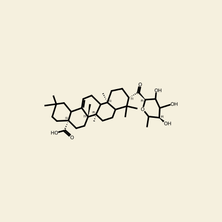 CC1O[C@@H](C(=O)[C@H]2CC[C@@]3(C)C(CC[C@]4(C)C3CC=C3C5CC(C)(C)CC[C@]5(C(=O)O)CC[C@]34C)C2(C)C)C(O)C(O)[C@H]1O